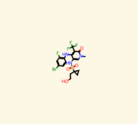 Cn1cc(NS(=O)(=O)C2(CCO)CC2)c(Nc2ccc(Br)cc2F)c(C(F)(F)F)c1=O